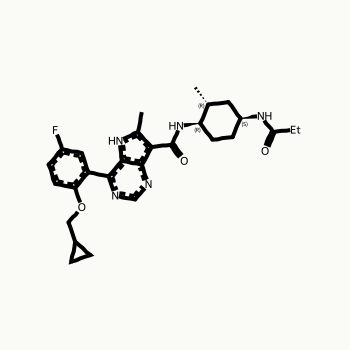 CCC(=O)N[C@H]1CC[C@@H](NC(=O)c2c(C)[nH]c3c(-c4cc(F)ccc4OCC4CC4)ncnc23)[C@H](C)C1